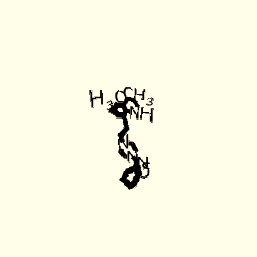 CC1(C)CCNc2c(CCN3CCN(c4nsc5ccccc45)CC3)cccc21